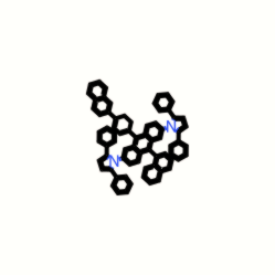 C1=C(c2ccc3ccccc3c2)CCC(c2c3cc(-n4c(-c5ccccc5)ccc4-c4ccccc4)ccc3c(-c3cccc4ccccc34)c3cc(-n4c(-c5ccccc5)ccc4-c4ccccc4)ccc23)=C1